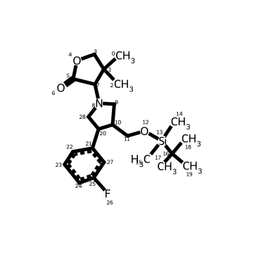 CC1(C)COC(=O)C1N1CC(CO[Si](C)(C)C(C)(C)C)C(c2cccc(F)c2)C1